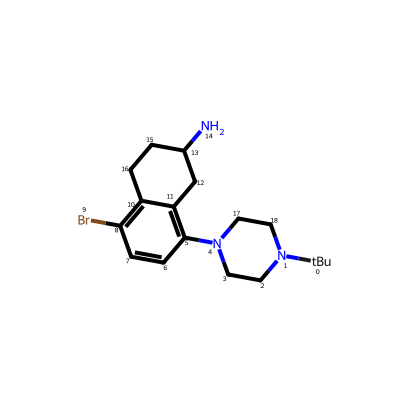 CC(C)(C)N1CCN(c2ccc(Br)c3c2CC(N)CC3)CC1